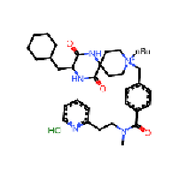 CCCC[N+]1(Cc2ccc(C(=O)N(C)CCc3ccccn3)cc2)CCC2(CC1)NC(=O)[C@H](CC1CCCCC1)NC2=O.Cl